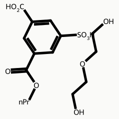 CCCOC(=O)c1cc(C(=O)O)cc(S(=O)(=O)O)c1.OCCOCCO